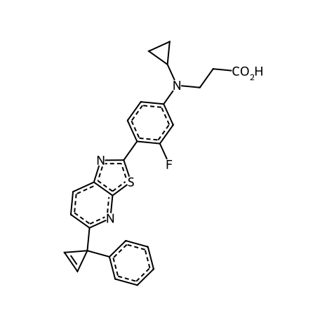 O=C(O)CCN(c1ccc(-c2nc3ccc(C4(c5ccccc5)C=C4)nc3s2)c(F)c1)C1CC1